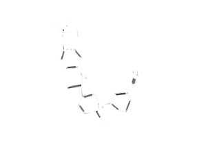 N#Cc1cccc(-n2cc(C(=O)Nc3ccc(OC(F)(F)Cl)cc3)ccc2=O)c1